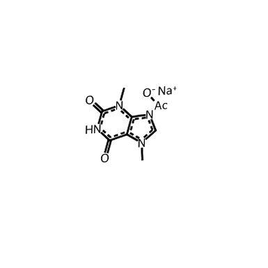 CC(=O)[O-].Cn1cnc2c1c(=O)[nH]c(=O)n2C.[Na+]